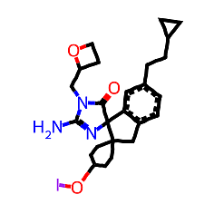 NC1=NC2(C(=O)N1CC1CCO1)c1cc(CCC3CC3)ccc1CC21CCC(OI)CC1